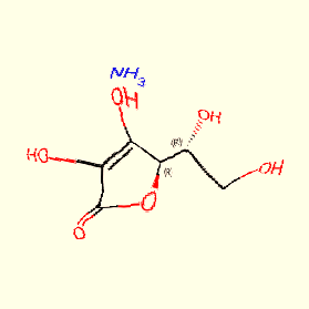 N.O=C1O[C@H]([C@H](O)CO)C(O)=C1O